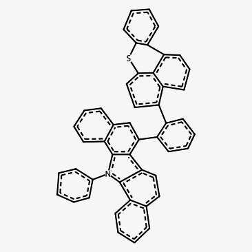 c1ccc(-n2c3c4ccccc4ccc3c3c(-c4ccccc4-c4ccc5c6c(cccc46)-c4ccccc4S5)cc4ccccc4c32)cc1